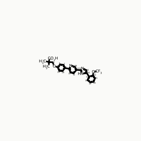 CC(C)(COc1ccc(-c2ccc(-c3ncc(-c4ccccc4OC(F)(F)F)[nH]3)cn2)cc1)C(=O)O